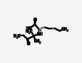 CCCCC[C@H](NC(C)(C)C(=O)CC)C(=O)O